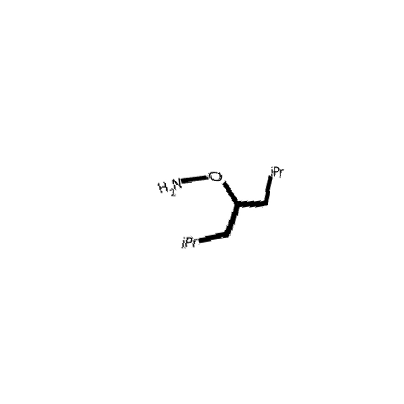 CC(C)CC(CC(C)C)ON